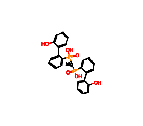 O=[P](O)([Mg][P](=O)(O)c1ccccc1-c1ccccc1O)c1ccccc1-c1ccccc1O